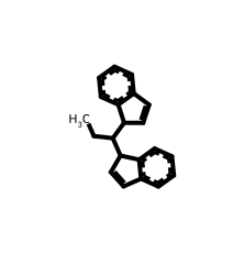 CCC(C1C=Cc2ccccc21)C1C=Cc2ccccc21